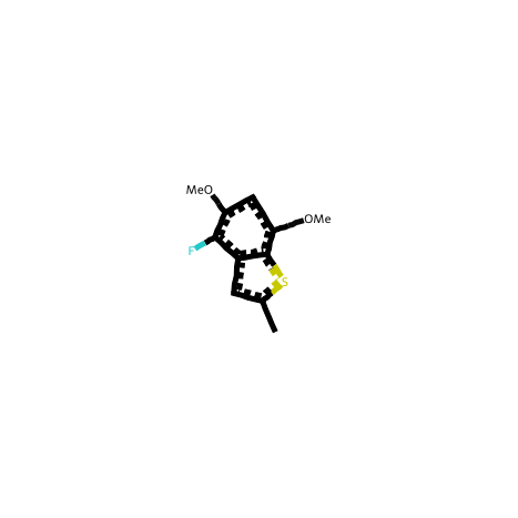 COc1cc(OC)c2sc(C)cc2c1F